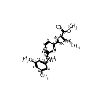 COC(=O)c1nc(-c2ccnc(Nc3cc(C)cc(C)c3)n2)sc1SC